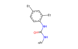 CCCNC(=O)Nc1ccc(CC)cc1CC